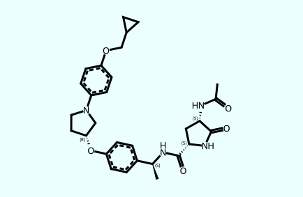 CC(=O)N[C@H]1C[C@@H](C(=O)N[C@@H](C)c2ccc(O[C@@H]3CCN(c4ccc(OCC5CC5)cc4)C3)cc2)NC1=O